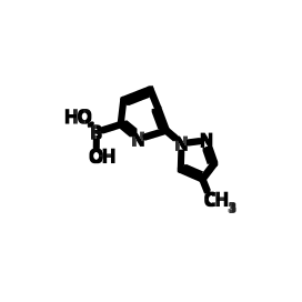 Cc1cnn(-c2cccc(B(O)O)n2)c1